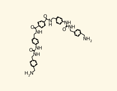 NCc1ccc(CNC(=O)Nc2ccc(CNC(=O)c3ccc(C(=O)NCc4ccc(NC(=O)NCc5ccc(CN)cc5)cc4)cc3)cc2)cc1